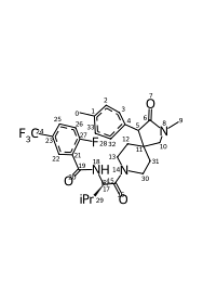 Cc1ccc(C2C(=O)N(C)CC23CCN(C(=O)[C@H](NC(=O)c2cc(C(F)(F)F)ccc2F)C(C)C)CC3)cc1